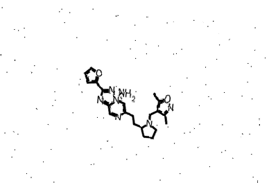 Cc1noc(C)c1CN1CCCC1CCC1=C[N@@+]2(N)N=C(c3ccco3)N=C2C=N1